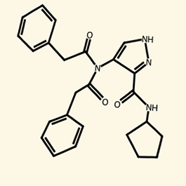 O=C(NC1CCCC1)c1n[nH]cc1N(C(=O)Cc1ccccc1)C(=O)Cc1ccccc1